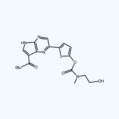 CN(CCO)C(=O)Oc1ccc(-c2cnc3[nH]cc(C(=O)C(C)(C)C)c3n2)s1